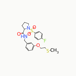 CSCCOc1cccc(CNC(=O)C2CCCN2S(=O)(=O)c2ccc(F)cc2)c1